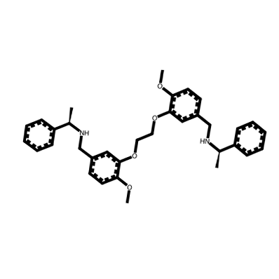 COc1ccc(CN[C@H](C)c2ccccc2)cc1OCCOc1cc(CN[C@H](C)c2ccccc2)ccc1OC